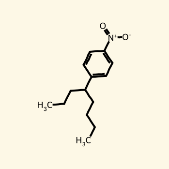 CCCCC(CCC)c1ccc([N+](=O)[O-])cc1